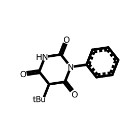 CC(C)(C)C1C(=O)NC(=O)N(c2ccccc2)C1=O